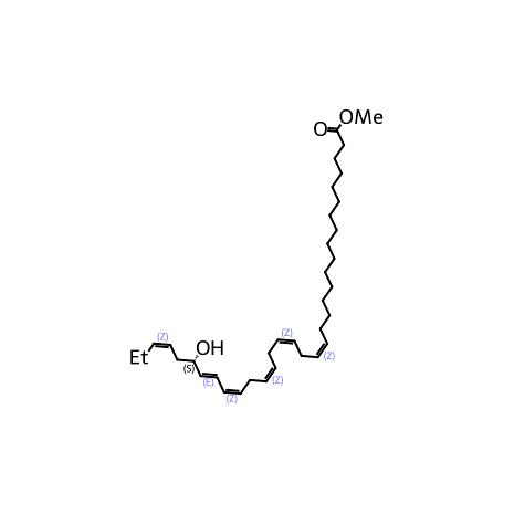 CC/C=C\C[C@H](O)/C=C/C=C\C/C=C\C/C=C\C/C=C\CCCCCCCCCCCCCCC(=O)OC